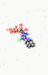 O=P(O)(O)CP(=O)(O)CC[C@H]1O[C@@H](n2cnc3c(Nc4ccc5ccc6cccc7ccc4c5c67)nc(Cl)nc32)C(O)[C@H]1O